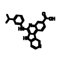 CC(C)c1cccc(Nc2nc3cc(C(=O)O)ccc3c3c2[nH]c2ccncc23)c1